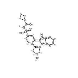 CN(C(=O)C1CCC1)S(=O)(=O)c1ccc(N2CC[C@H](O)C2)c(-c2cc3ccccc3[nH]2)c1